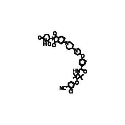 CC1(C)[C@H](NC(=O)c2ccc(OC3CCN(C4CCN(c5ccc6c(c5)C(=O)N(C5CCC(=O)NC5=O)C6=O)CC4)CC3)cc2)C(C)(C)[C@H]1Oc1ccc(C#N)c(Cl)c1